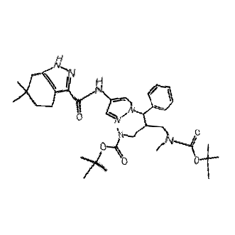 CN(CC(CN(C)C(=O)OC(C)(C)C)C(c1ccccc1)n1cc(NC(=O)c2n[nH]c3c2CCC(C)(C)C3)cn1)C(=O)OC(C)(C)C